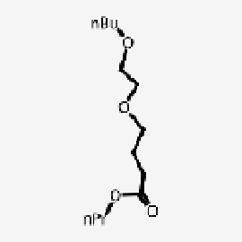 CCCCOCCOCCCC(=O)OCCC